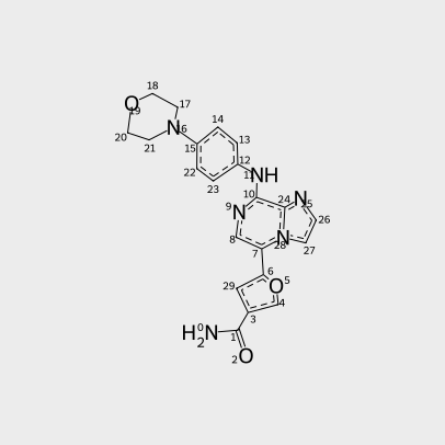 NC(=O)c1coc(-c2cnc(Nc3ccc(N4CCOCC4)cc3)c3nccn23)c1